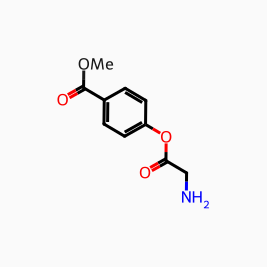 [CH2]OC(=O)c1ccc(OC(=O)CN)cc1